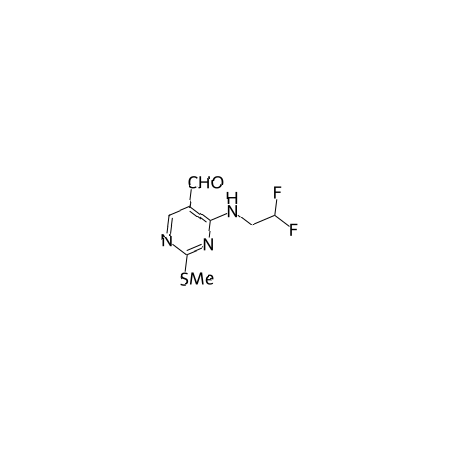 CSc1ncc(C=O)c(NCC(F)F)n1